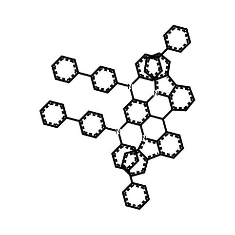 c1ccc(-c2ccc(N(c3ccc(-c4ccccc4)cc3)c3cc(N(c4ccc(-c5ccccc5)cc4)c4ccc(-c5ccccc5)cc4)c4c5c3-n3c6ccccc6c6cccc(c63)C5c3cccc5c6ccccc6n-4c35)cc2)cc1